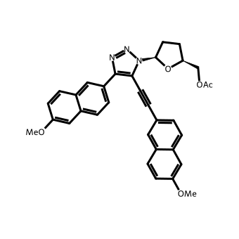 COc1ccc2cc(C#Cc3c(-c4ccc5cc(OC)ccc5c4)nnn3[C@H]3CC[C@@H](COC(C)=O)O3)ccc2c1